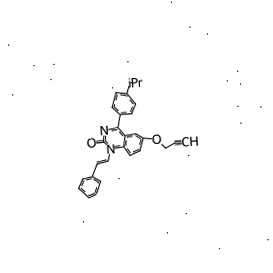 C#CCOc1ccc2c(c1)c(-c1ccc(C(C)C)cc1)nc(=O)n2C=Cc1ccccc1